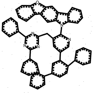 c1ccc(-c2ccc(-c3ccccc3)c(-c3cnc(-n4c5ccccc5c5cc6oc7ccccc7c6cc54)c(Cc4nc(-c5ccccc5)nc(-c5ccccc5)n4)c3)c2)cc1